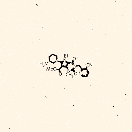 CCn1c(N2CCC[C@@H](N)C2)c(C(=O)OC)c2c1c(=O)n(Cc1ncccc1C#N)c(=O)n2C